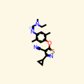 CCN(C)/C=N\c1cc(C)c(Oc2snc(C3CC3)c2C#N)cc1C